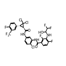 O=C(Nc1cc(NC(=O)[C@H]2[C@H](c3ccc(F)c(C(F)(F)F)c3)C2(Cl)Cl)ccc1Cl)c1ccc(F)c(NC(O)C(F)F)c1F